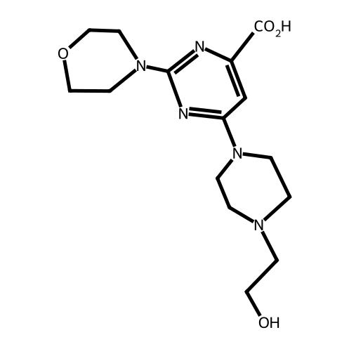 O=C(O)c1cc(N2CCN(CCO)CC2)nc(N2CCOCC2)n1